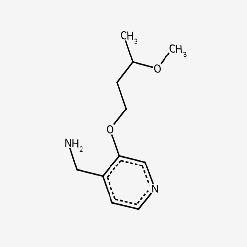 COC(C)CCOc1cnccc1CN